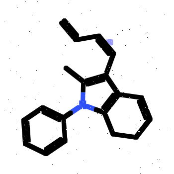 C=C/C=C\c1c2c(n(-c3ccccc3)c1C)CCC=C2